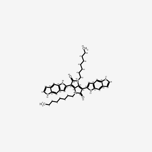 CCCCCCCCN1C(=O)C(c2cc3cc4sccc4cc3s2)=C2C1=C(c1cc3cc4sccc4cc3s1)C(=O)N2CCCCCCCC